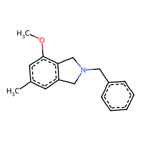 COc1cc(C)cc2c1CN(Cc1ccccc1)C2